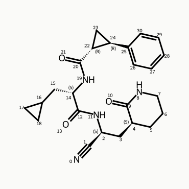 N#C[C@H](C[C@@H]1CCCNC1=O)NC(=O)[C@H](CC1CC1)NC(=O)[C@@H]1C[C@H]1c1ccccc1